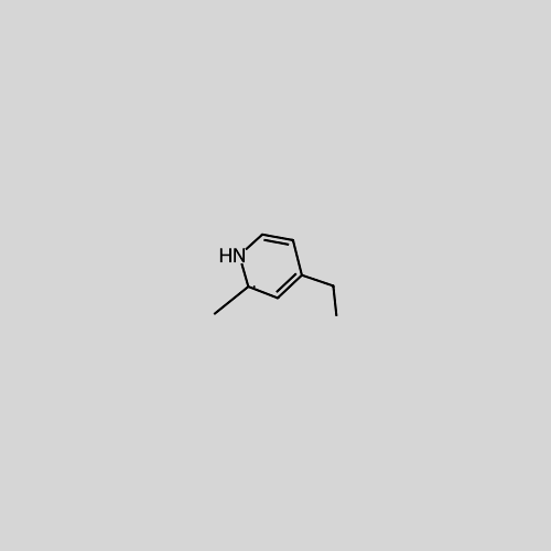 CCC1=C[C](C)NC=C1